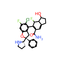 NC(=O)C1=C(c2c(Cl)c(F)cc3c2C[C@](c2ccccc2)([C@@H]2CCCN2)O3)C(F)C2C(=C1)CCC2O